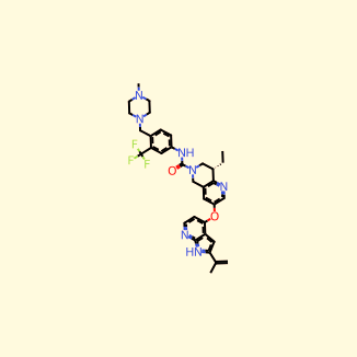 C=C(C)c1cc2c(Oc3cnc4c(c3)CN(C(=O)Nc3ccc(CN5CCN(C)CC5)c(C(F)(F)F)c3)C[C@@H]4CC)ccnc2[nH]1